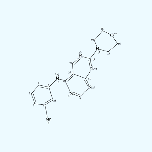 Brc1cccc(Nc2ncnc3nc(N4CCOCC4)ncc23)c1